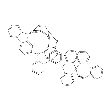 CC12c3ccccc3-c3ccc(cc31)N(c1ccccc1-c1ccccc1)c1ccc(-c3cccc4c3Oc3ccccc3C43c4ccccc4-c4ccccc4-c4ccccc43)c3oc4c(c13)C=CC2C=C4